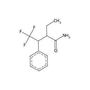 CCC(C(N)=O)C(c1ccccc1)C(F)(F)F